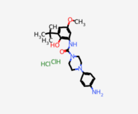 COc1cc(NC(=O)N2CCN(c3ccc(N)cc3)CC2)c(O)c(C(C)(C)C)c1.Cl.Cl